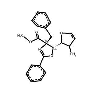 COC(=O)[C@@]1(Cc2ccccc2)N=C(c2ccccc2)O[C@H]1C1OC=CC1C